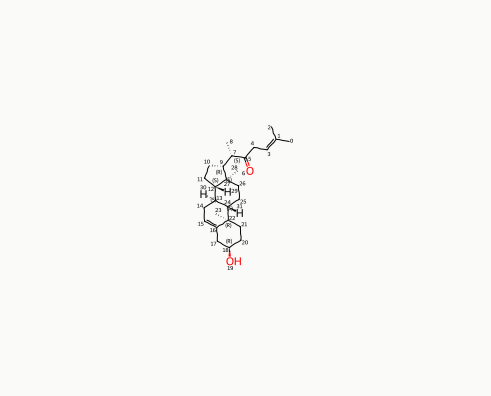 CC(C)=CCC(=O)[C@@H](C)[C@H]1CC[C@H]2[C@@H]3CC=C4C[C@H](O)CC[C@]4(C)[C@H]3CC[C@]12C